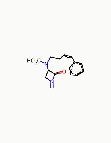 O=C1NCC1N(CC/C=C\c1ccccc1)C(=O)O